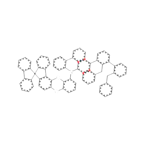 c1ccc(Cc2ccccc2-c2cccc(-c3ccc(N(c4ccccc4-c4ccccc4)c4cccc5c4Oc4c(ccc6c4-c4ccccc4C64c6ccccc6-c6ccccc64)O5)cc3)c2Cc2ccccc2)cc1